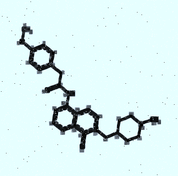 COc1ccc(CC(=O)Nc2cccc3c(=O)n(CC4CCN(C)CC4)ccc23)cc1